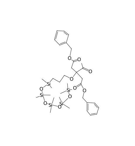 CC(=O)C(CC(=O)OCc1ccccc1)(CC(=O)OCc1ccccc1)OCCC[Si](C)(C)O[Si](C)(C)O[Si](C)(C)O[Si](C)(C)O[Si](C)(C)C